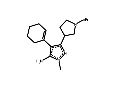 CCCN1CCC(c2nn(C)c(N)c2C2=CCCCC2)C1